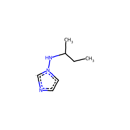 CCC(C)Nn1[c]ncc1